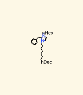 CCCCCCCCCCCCCCCCCN1C=CN(CCCCCC)C1Cc1ccccc1